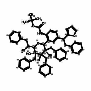 CC(C)(C)OC(=O)Nc1ccc(C(Cc2ccccc2)c2cccs2)cc1[C@@H]1O[C@H](C(O)Cc2ccccc2)[C@](O)(Cc2ccccc2)[C@@](O)(Cc2ccccc2)[C@]1(O)Cc1ccccc1